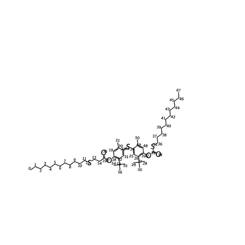 CCCCCCCCCCCCSCCC(=O)Oc1cc(C)c(Sc2cc(C(C)(C)C)c(OC(=O)SCCCCCCCCCCCC)cc2C)cc1C(C)(C)C